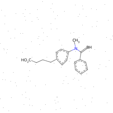 B=C(c1ccccc1)N(C)c1ccc(CCCC(=O)O)cc1